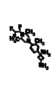 Cc1cc(C2(N)CC(N)C2)ccc1N1CC(C)N(C(F)C(F)F)C(C)C1